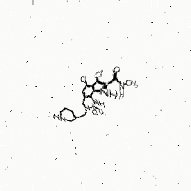 CNC(=O)c1[nH]c2c3c(cc(Cl)c2c1Cl)CN(CC1CCCNC1)S(=O)(=O)N3